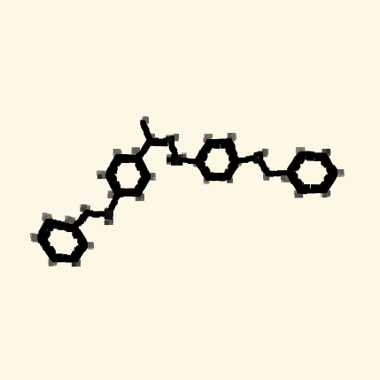 CC(=NNc1ccc(OCc2ccccc2)cc1)c1ccc(OCc2ccccc2)cc1